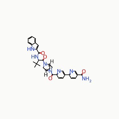 CC(C)(C)C(NC(=O)c1cc2ccccc2[nH]1)C(=O)N1C[C@@H]2C[C@H]1CN2C(=O)c1ccc(-c2ccc(C(N)=O)cn2)cn1